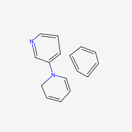 C1=CCN(c2cccnc2)C=C1.c1ccccc1